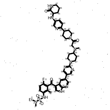 CCN(C)S(=O)(=O)Nc1ccc(F)c(C(=O)c2c[nH]c3ncc(-c4cnc(N5CCC(N(C)CC(=O)N6CCC(c7ccc(NC8CCCNC8=O)cn7)CC6)CC5)nc4)cc23)c1F